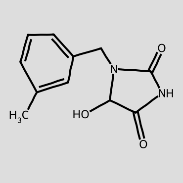 Cc1cccc(CN2C(=O)NC(=O)C2O)c1